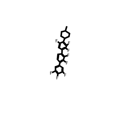 CC1CCC(c2c(F)cc(-c3ccc(-c4cc(F)c(F)c(F)c4)c(F)c3F)c(F)c2F)CC1